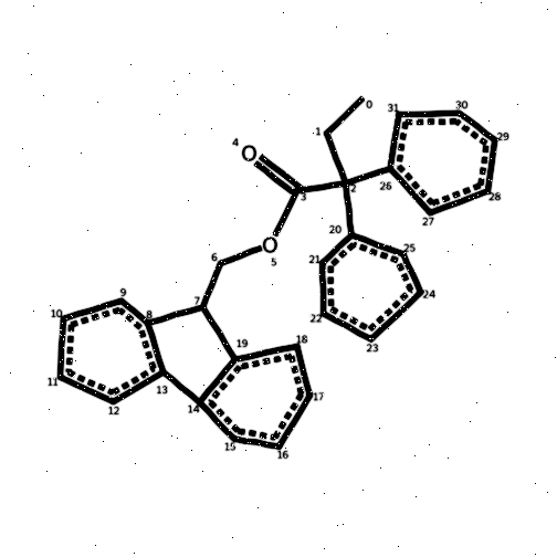 CCC(C(=O)OCC1c2ccccc2-c2ccccc21)(c1ccccc1)c1ccccc1